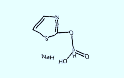 O=[PH](O)Oc1nccs1.[NaH]